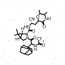 CC1NC(=O)C(C[C@@H](C#N)NC(=O)[C@@H]2[C@@H]3[C@H](CN2C(=O)C(NC(=O)C(F)(F)F)C24CC5CC(CC(C5)C2)C4)C3(C)C)OC1C